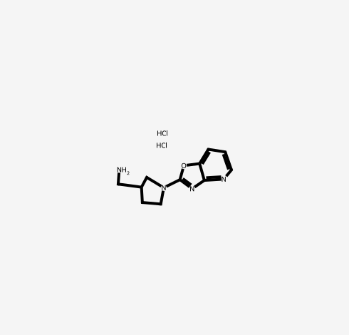 Cl.Cl.NCC1CCN(c2nc3ncccc3o2)C1